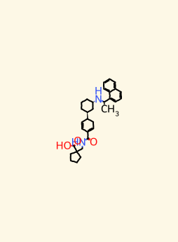 C[C@@H](N[C@H]1CCC[C@H](C2C=CC(C(=O)NCC3(C(=O)O)CCCC3)=CC2)C1)c1cccc2ccccc12